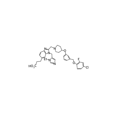 CCn1cncc1Cn1c(CN2CCC(Oc3cccc(COc4ccc(Cl)cc4F)c3)CC2)nc2ccc(CCC(=O)O)cc21